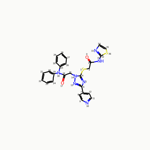 O=C(CSc1nc(-c2ccncc2)nn1CC(=O)N(c1ccccc1)c1ccccc1)Nc1nccs1